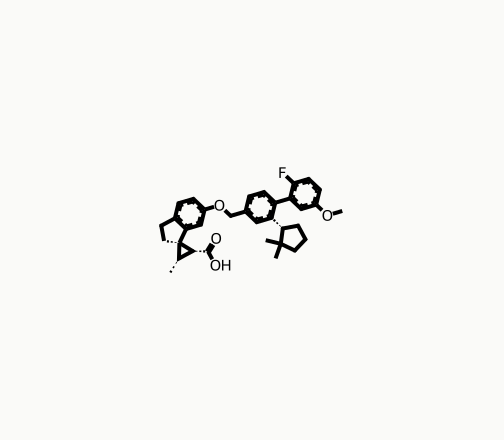 COc1ccc(F)c(-c2ccc(COc3ccc4c(c3)[C@@]3(CC4)[C@H](C(=O)O)[C@@H]3C)cc2[C@@H]2CCCC2(C)C)c1